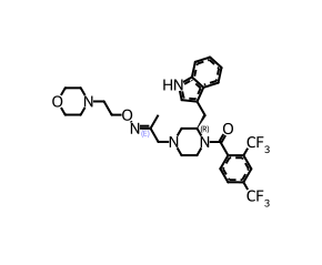 C/C(CN1CCN(C(=O)c2ccc(C(F)(F)F)cc2C(F)(F)F)[C@H](Cc2c[nH]c3ccccc23)C1)=N\OCCN1CCOCC1